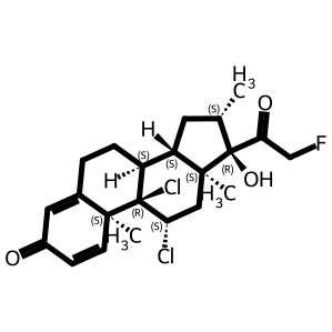 C[C@H]1C[C@H]2[C@@H]3CCC4=CC(=O)C=C[C@]4(C)[C@@]3(Cl)[C@@H](Cl)C[C@]2(C)[C@@]1(O)C(=O)CF